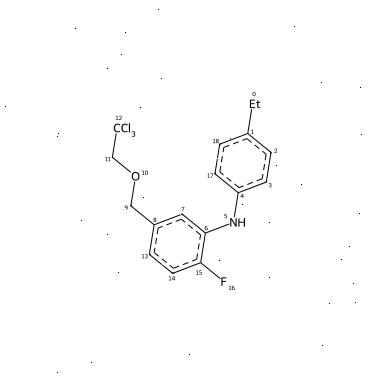 CCc1ccc(Nc2cc(COCC(Cl)(Cl)Cl)ccc2F)cc1